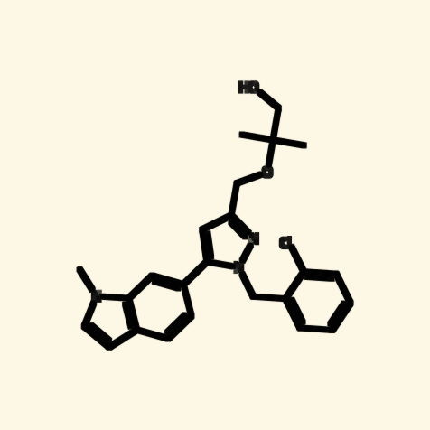 Cn1ccc2ccc(-c3cc(COC(C)(C)CO)nn3Cc3ccccc3Cl)cc21